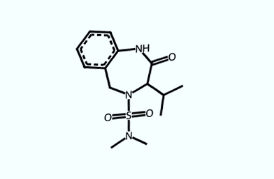 CC(C)C1C(=O)Nc2ccccc2CN1S(=O)(=O)N(C)C